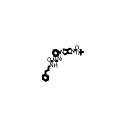 CC(C)(C)OC(=O)N1CC2CN(c3cccc4c3ncn4C(=O)NCCCc3ccccc3)CC2C1